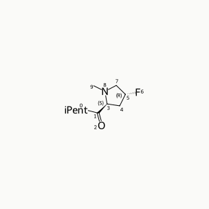 CCCC(C)C(=O)[C@@H]1C[C@@H](F)CN1C